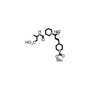 CC(CC(=O)O)NC(=O)[C@@H]1CCCN(C(=O)/C=C/C2CCN(C(=O)OC(C)(C)C)CC2)C1.Cl